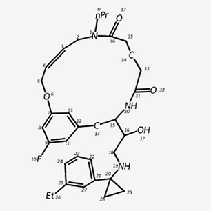 CCCN1CC=CCOc2cc(F)cc(c2)CC(C(O)CNC2(c3cccc(CC)c3)CC2)NC(=O)CCCC1=O